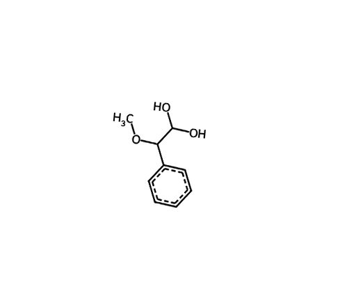 COC(c1ccccc1)C(O)O